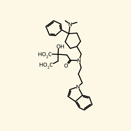 CN(C)C1(c2ccccc2)CCC(CN(CCCn2ccc3ccccc32)C(=O)CC(O)(CC(=O)O)C(=O)O)CC1